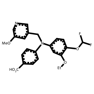 CCOc1cc(N(Cc2cncc(OC)c2)c2ccc(C(=O)O)cc2)ccc1OC(F)F